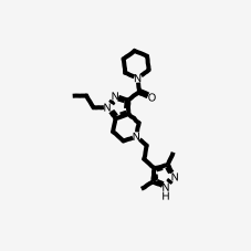 CCCn1nc(C(=O)N2CCCCC2)c2c1CCN(CCc1c(C)n[nH]c1C)C2